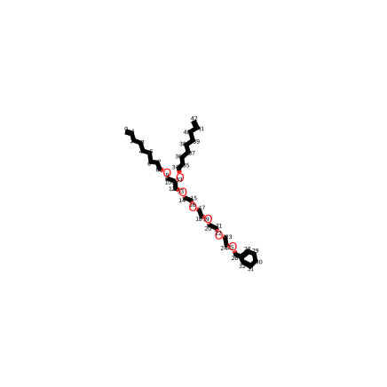 C=CCCCCCCCOCC(COCCOCCOCCOCCOCC1=CCCC=C1)OCCCCCCCC=C